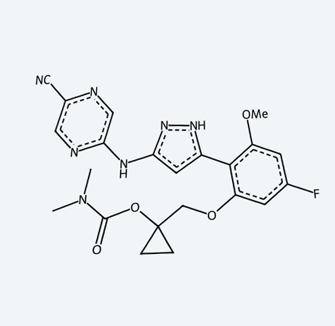 COc1cc(F)cc(OCC2(OC(=O)N(C)C)CC2)c1-c1cc(Nc2cnc(C#N)cn2)n[nH]1